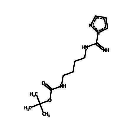 CC(C)(C)OC(=O)NCCCCNC(=N)n1cccn1